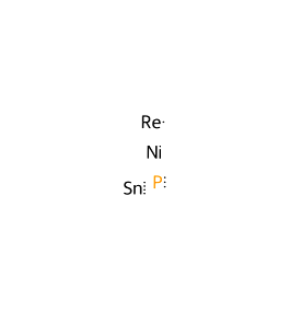 [Ni].[P].[Re].[Sn]